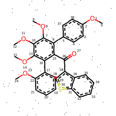 COc1ccc(-c2c(OC)c(OC)c(OC)c(-c3ccccc3OC)c2C(=O)c2csc3ccccc23)cc1